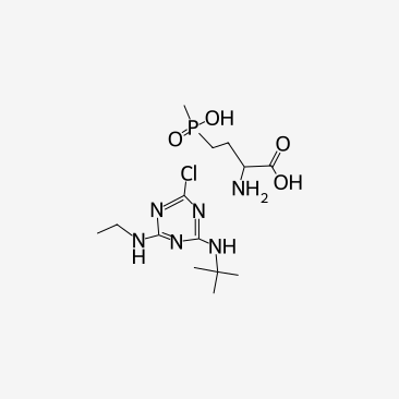 CCNc1nc(Cl)nc(NC(C)(C)C)n1.CP(=O)(O)CCC(N)C(=O)O